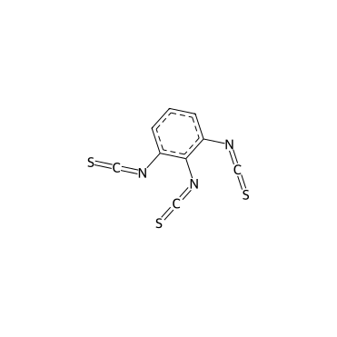 S=C=Nc1cccc(N=C=S)c1N=C=S